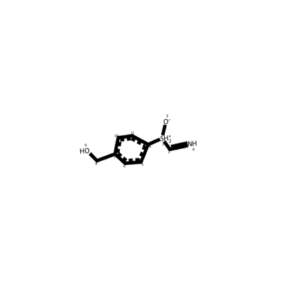 N=C[SH2+]([O-])c1ccc(CO)cc1